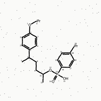 CC(C)Oc1ccc(C(C)CCC(C)OP(=O)(O)c2ccc(C(C)C)cc2)cc1